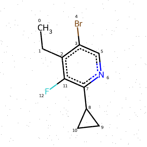 CCc1c(Br)cnc(C2CC2)c1F